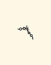 CC=CC1CCC(c2ccc(COC(F)(F)C(F)c3ccc(C4CCC(CC)CC4)cc3)cc2)CC1